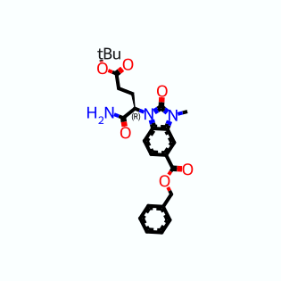 Cn1c(=O)n([C@H](CCC(=O)OC(C)(C)C)C(N)=O)c2ccc(C(=O)OCc3ccccc3)cc21